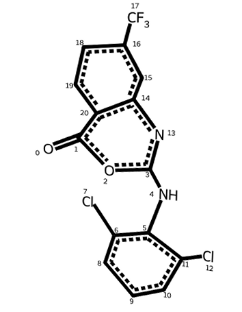 O=c1oc(Nc2c(Cl)cccc2Cl)nc2cc(C(F)(F)F)ccc12